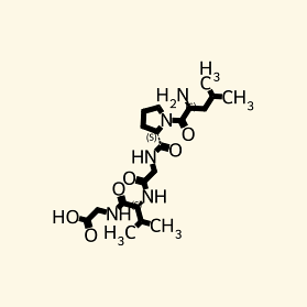 CC(C)C[C@H](N)C(=O)N1CCC[C@H]1C(=O)NCC(=O)N[C@H](C(=O)NCC(=O)O)C(C)C